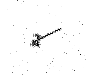 CCCCCCCCCCCCCCCCCC[C@H](CC(=O)O)c1cc(C(C)(C)C)c(O)c(C(C)(C)C)c1